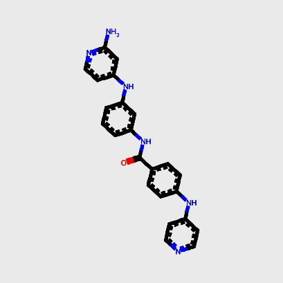 Nc1cc(Nc2cccc(NC(=O)c3ccc(Nc4ccncc4)cc3)c2)ccn1